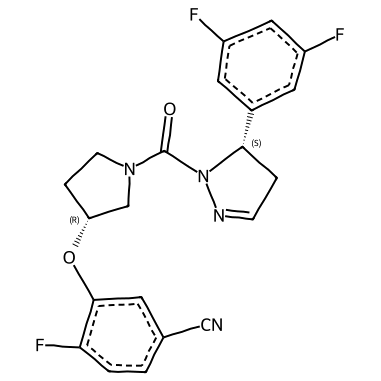 N#Cc1ccc(F)c(O[C@@H]2CCN(C(=O)N3N=CC[C@H]3c3cc(F)cc(F)c3)C2)c1